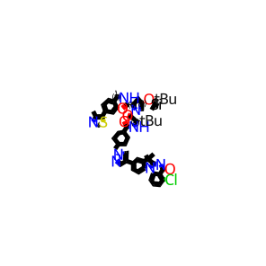 Cc1ncsc1-c1ccc([C@H](C)NC(=O)[C@@H]2C[C@@H](O[Si](C)(C)C(C)(C)C)CN2C(=O)[C@@H](NC(=O)C2CCC(Cn3cc(-c4ccc5c(c4)C(C)(C)c4nc(=O)c6c(Cl)cccc6n4-5)cn3)CC2)C(C)(C)C)cc1